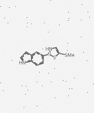 CSC1=CNN(c2ccc3[nH]ccc3c2)S1